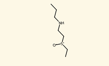 CCCNCC[S+]([O-])CC